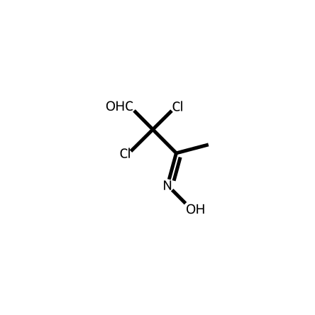 CC(=NO)C(Cl)(Cl)C=O